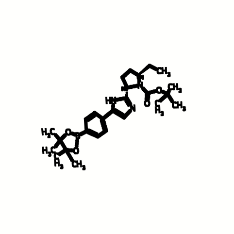 CC[C@@H]1CC[C@@H](c2ncc(-c3ccc(B4OC(C)(C)C(C)(C)O4)cc3)[nH]2)N1C(=O)OC(C)(C)C